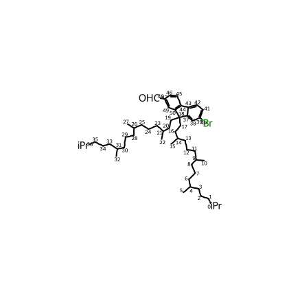 CC(C)CCCC(C)CCCC(C)CCCC(C)CCC1(CCC(C)CCCC(C)CCCC(C)CCCC(C)C)c2cc(Br)ccc2-c2ccc(C=O)cc21